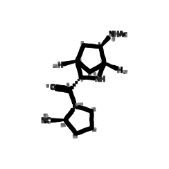 CC(=O)N[C@@H]1C[C@@H]2C[C@H]1N[C@@H]2C(=O)N1CCC[C@H]1C#N